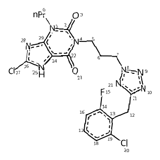 CCCn1c(=O)n(CCCn2nnc(Cc3c(F)cccc3Cl)n2)c(=O)c2[nH]c(Cl)nc21